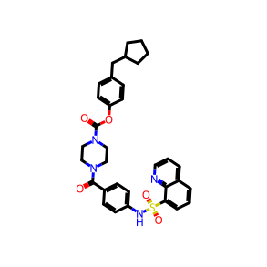 O=C(Oc1ccc(CC2CCCC2)cc1)N1CCN(C(=O)c2ccc(NS(=O)(=O)c3cccc4cccnc34)cc2)CC1